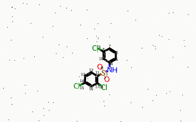 O=S(=O)(Nc1cccc(Cl)c1)c1ccc(Cl)cc1Cl